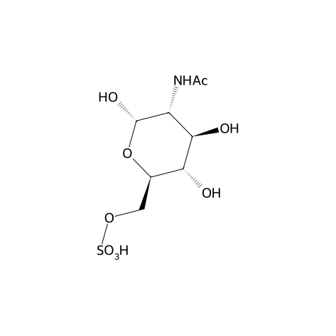 CC(=O)N[C@@H]1[C@@H](O)[C@H](O)[C@@H](COS(=O)(=O)O)O[C@@H]1O